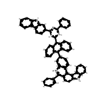 c1ccc(-c2nc(-c3ccc4c(c3)sc3ccccc34)nc(-c3c4ccccc4c(-c4ccc5c(c4)nc(-c4ccccc4)c4ccc6oc7ccccc7c6c45)c4ccccc34)n2)cc1